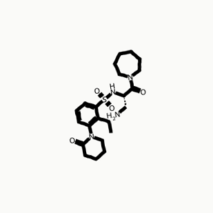 CCc1c(N2CCCCC2=O)cccc1S(=O)(=O)N[C@@H](CN)C(=O)N1CCCCCC1